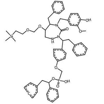 COc1cc(CN2C(=O)N(C(Cc3ccccc3)c3ccc(OCP(=O)(O)OC(Cc4ccccc4)c4ccccc4)cc3)NCC(OCOCC[Si](C)(C)C)C2Cc2ccccc2)ccc1O